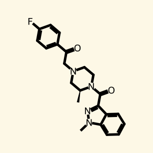 C[C@H]1CN(CC(=O)c2ccc(F)cc2)CCN1C(=O)c1nn(C)c2ccccc12